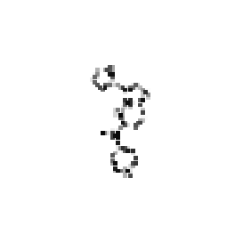 CN(c1ccncc1)c1ccc2ncc(-c3cccs3)n2n1